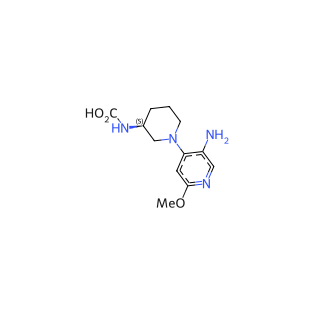 COc1cc(N2CCC[C@H](NC(=O)O)C2)c(N)cn1